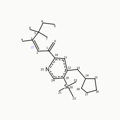 C=C(/C=C(/C)C(C)(C)CC)c1cc(CC2CCCC2)c([Si](C)(C)C)cn1